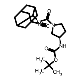 [C-]#[N+]C12CC3CC(C1)C(OC(=O)N1CC[C@@H](NC(=O)OC(C)(C)C)C1)C(C3)C2